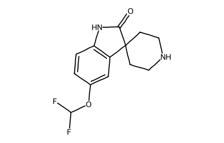 O=C1Nc2ccc(OC(F)F)cc2C12CCNCC2